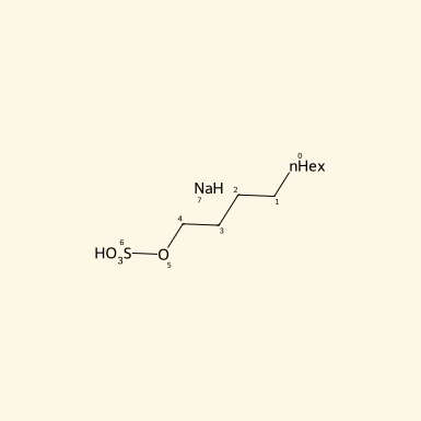 CCCCCCCCCCOS(=O)(=O)O.[NaH]